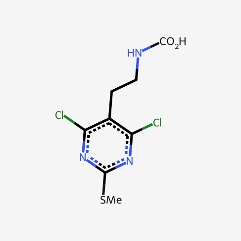 CSc1nc(Cl)c(CCNC(=O)O)c(Cl)n1